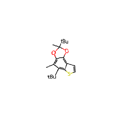 Cc1c2c(c3ccsc3c1C(C)(C)C)OC(C)(C(C)(C)C)O2